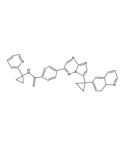 O=C(NC1(c2ccccn2)CC1)c1ccc(-c2cnc3ncc(C4(C5=CCC6N=CC=CC6=C5)CC4)n3n2)cc1